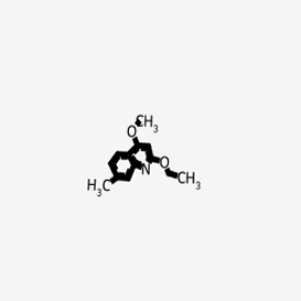 CCOc1cc(OC)c2ccc(C)cc2n1